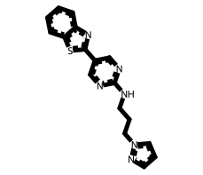 [c]1nc(NCCCn2cccn2)ncc1-c1nc2ccccc2s1